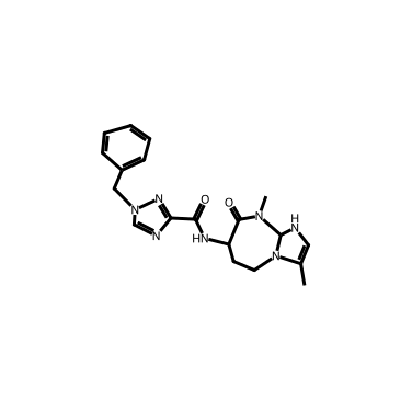 CC1=CNC2N(C)C(=O)C(NC(=O)c3ncn(Cc4ccccc4)n3)CCN12